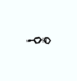 N#Cc1ccc([C@H]2CC3CCC2N3)cc1